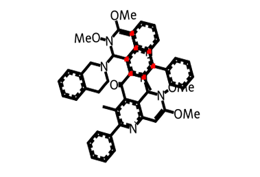 COC1=Cc2nc(-c3ccccc3)c(C)c(C(=O)c3c(C)c(-c4ccccc4)nc4c3C(N3CCc5ccccc5C3)N(OC)C(OC)=C4)c2C(N2CCc3ccccc3C2)N1OC